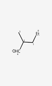 [CH2]CCC(C)[C]=O